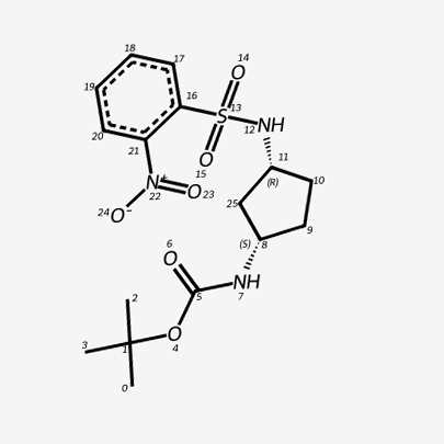 CC(C)(C)OC(=O)N[C@H]1CC[C@@H](NS(=O)(=O)c2ccccc2[N+](=O)[O-])C1